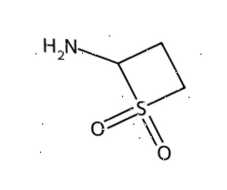 NC1CCS1(=O)=O